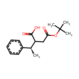 C[C@@H](c1ccccc1)C(CC(=O)OC(C)(C)C)C(=O)O